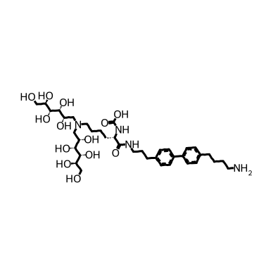 NCCCCc1ccc(-c2ccc(CCCNC(=O)[C@H](CCCCN(C[C@H](O)[C@@H](O)[C@H](O)[C@H](O)CO)C[C@H](O)[C@@H](O)[C@H](O)[C@H](O)CO)NC(=O)O)cc2)cc1